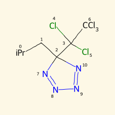 CC(C)CC1(C(Cl)(Cl)C(Cl)(Cl)Cl)N=NN=N1